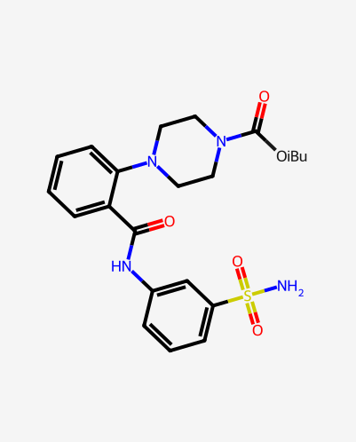 CC(C)COC(=O)N1CCN(c2ccccc2C(=O)Nc2cccc(S(N)(=O)=O)c2)CC1